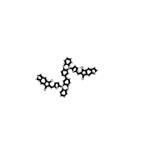 O=C1C(=Cc2ccc(N3c4ccccc4Sc4ccc(-c5ccc6c(c5)N(c5ccc(/C=C7\C(=O)c8cc9ccsc9cc8C7=O)s5)c5ccccc5S6)cc43)s2)C(=O)c2cc3cscc3cc21